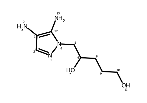 Nc1cnn(CC(O)CCCO)c1N